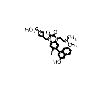 CN(C)CCn1c(=O)c(=O)n(CC2CN(C(=O)O)C2)c2cc(F)c(-c3cc(O)cc4ccccc34)cc21